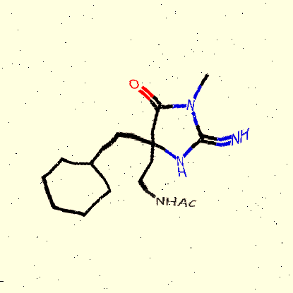 CC(=O)NCC1(CC2CCCCC2)NC(=N)N(C)C1=O